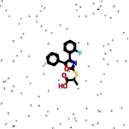 CC(Sc1nc(-c2ccccc2F)c(-c2ccccc2)o1)C(=O)O